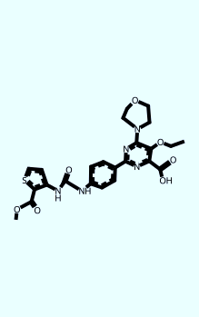 CCOc1c(C(=O)O)nc(-c2ccc(NC(=O)Nc3ccsc3C(=O)OC)cc2)nc1N1CCOCC1